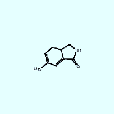 CSC1=CCC2CNC(=O)C2=C1